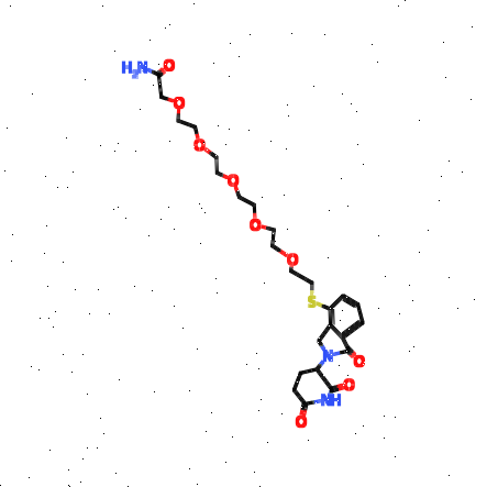 NC(=O)COCCOCCOCCOCCOCCSc1cccc2c1CN(C1CCC(=O)NC1=O)C2=O